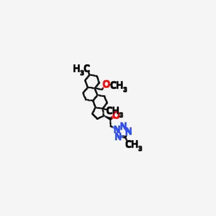 COCC12CCC(C)CC1CCC1C2CCC2(C)C1CC[C@@H]2C(=O)Cn1nnc(C)n1